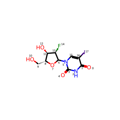 O=c1[nH]c(=O)n(C2O[C@H](CO)[C@@H](O)[C@H]2F)cc1I